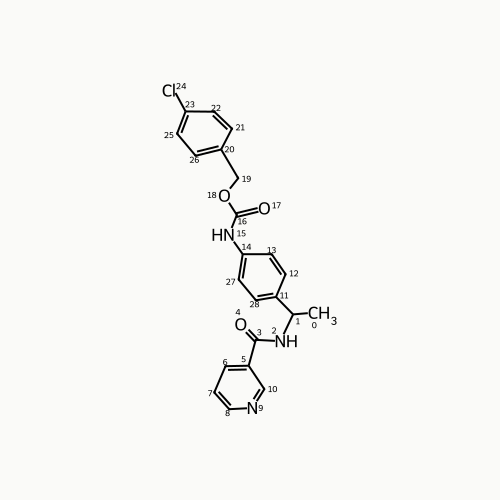 CC(NC(=O)c1cccnc1)c1ccc(NC(=O)OCc2ccc(Cl)cc2)cc1